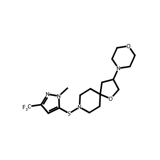 Cn1nc(C(F)(F)F)cc1SN1CCC2(CC1)CC(N1CCOCC1)CO2